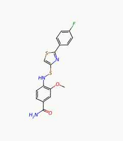 COc1cc(C(N)=O)ccc1NSc1csc(-c2ccc(F)cc2)n1